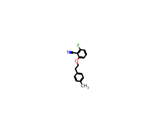 Cc1ccc(CCOc2cccc(F)c2C#N)cc1